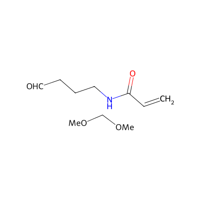 C=CC(=O)NCCCC=O.COCOC